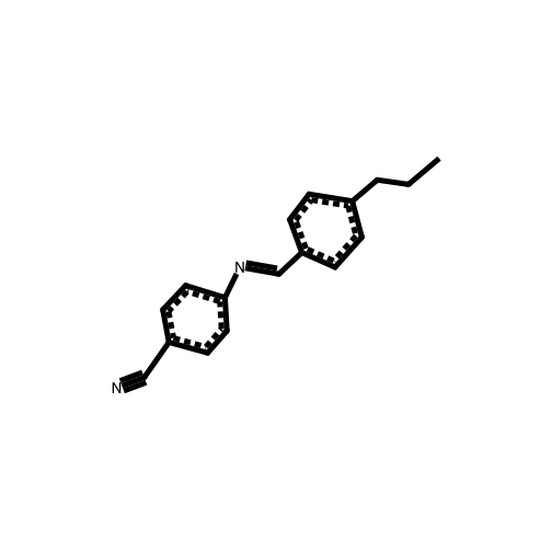 CCCc1ccc(/C=N/c2ccc(C#N)cc2)cc1